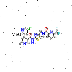 COc1ncc(Cl)cc1-c1cc(C)ncc1C(=O)Nc1nc2c(s1)CN(C(=O)c1cccc(C(F)F)n1)C2